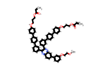 C=CC(=O)OCCCOc1ccc(-c2ccc(-c3cccc(-c4nc5ccc(-c6cccc(OCCOCCC)c6)cc5nc4-c4cccc(-c5ccc(-c6ccc(OCCCOC(=O)C=C)cc6)cc5)c4)c3)cc2)cc1